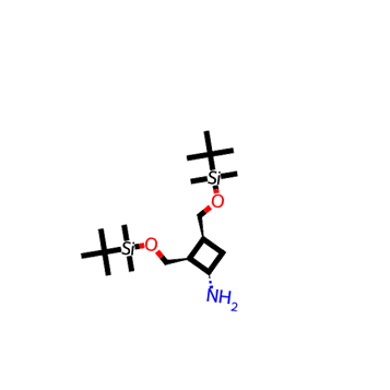 CC(C)(C)[Si](C)(C)OC[C@H]1C[C@H](N)[C@H]1CO[Si](C)(C)C(C)(C)C